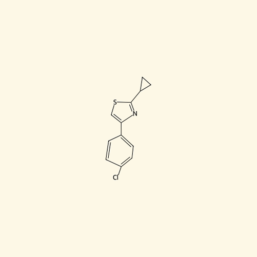 Clc1ccc(-c2csc(C3CC3)n2)cc1